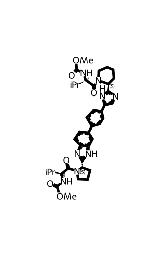 COC(=O)N[C@H](C(=O)N1CCCC[C@H]1c1ncc(-c2ccc(-c3ccc4nc([C@@H]5CCCN5C(=O)[C@@H](NC(=O)OC)C(C)C)[nH]c4c3)cc2)[nH]1)C(C)C